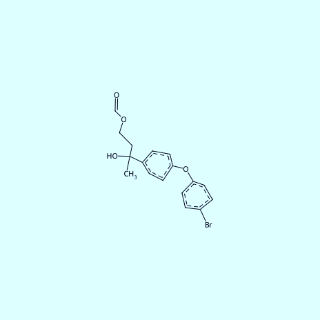 CC(O)(CCOC=O)c1ccc(Oc2ccc(Br)cc2)cc1